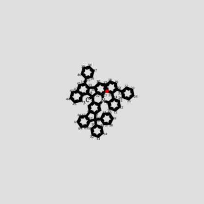 CC12c3cc4c(cc3N(c3ccccc3-c3ccccc3-c3ccccc3)c3cccc(c31)-c1c(-c3ccccc3)cc3ccccc3c12)C(c1ccccc1)(c1ccccc1)c1ccccc1-4